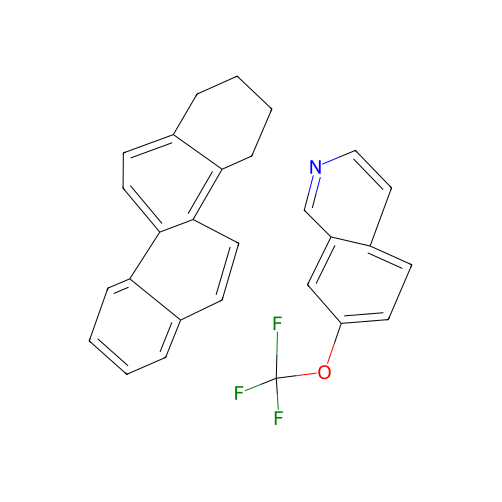 FC(F)(F)Oc1ccc2ccncc2c1.c1ccc2c(c1)ccc1c3c(ccc12)CCCC3